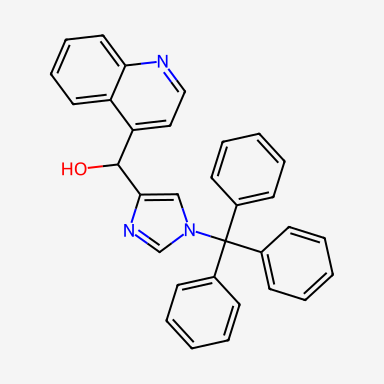 OC(c1cn(C(c2ccccc2)(c2ccccc2)c2ccccc2)cn1)c1ccnc2ccccc12